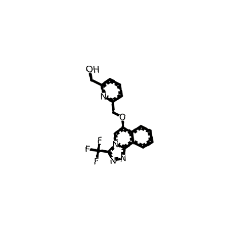 OCc1cccc(COc2cn3c(C(F)(F)F)nnc3c3ccccc23)n1